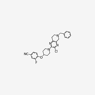 N#Cc1ccc(OC2CCN(c3nc4c(nc3Cl)CN(Cc3ccccc3)CC4)CC2)c(F)c1